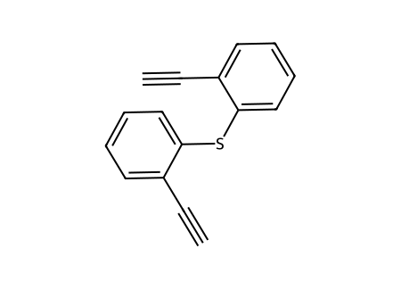 C#Cc1ccccc1Sc1ccccc1C#C